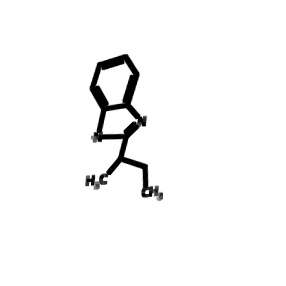 CCC(C)C1=Nc2ccccc2[N]1